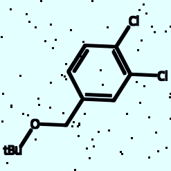 CC(C)(C)OCc1ccc(Cl)c(Cl)c1